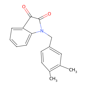 Cc1ccc(CN2C(=O)C(=O)c3ccccc32)cc1C